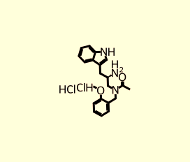 COc1ccccc1CN(C[C@H](N)Cc1c[nH]c2ccccc12)C(C)=O.Cl.Cl